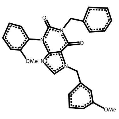 COc1cccc(Cn2cnc3c2c(=O)n(Cc2ccccc2)c(=O)n3-c2ccccc2OC)c1